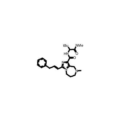 CNC(=O)C(NC(=O)c1nc(C=CCc2ccccc2)n2c1CN(C)CCC2)C(C)(C)C